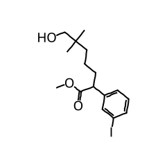 COC(=O)C(CCCC(C)(C)CO)c1cccc(I)c1